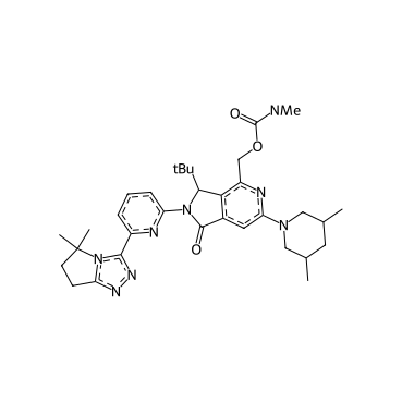 CNC(=O)OCc1nc(N2CC(C)CC(C)C2)cc2c1C(C(C)(C)C)N(c1cccc(-c3nnc4n3C(C)(C)CC4)n1)C2=O